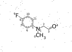 CN(CC=O)c1ccc(F)cc1